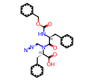 [N-]=[N+]=CN(C(=O)[C@H](Cc1ccccc1)NC(=O)OCc1ccccc1)[C@@H](Cc1ccccc1)C(=O)O